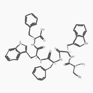 N[C@@H](CS)C(=O)N[C@@H](Cc1c[nH]c2ccccc12)C(=O)N[C@@H](Cc1ccccc1)C(=O)N[C@@H](Cc1c[nH]c2ccccc12)C(=O)N[C@@H](Cc1ccccc1)C(=O)O